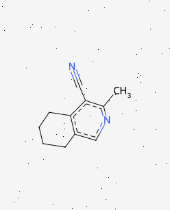 Cc1ncc2c(c1C#N)CCCC2